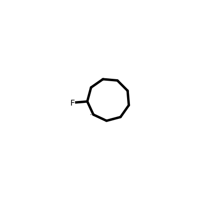 FC1[CH]CCCCCCC1